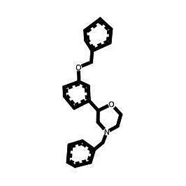 c1ccc(COc2cccc(C3CN(Cc4ccccc4)CCO3)c2)cc1